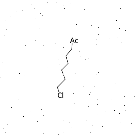 CC(=O)CCCCCCCl